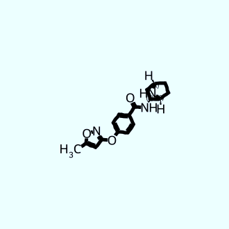 Cc1cc(Oc2ccc(C(=O)N[C@@H]3C[C@H]4CC[C@@H]3N4)cc2)no1